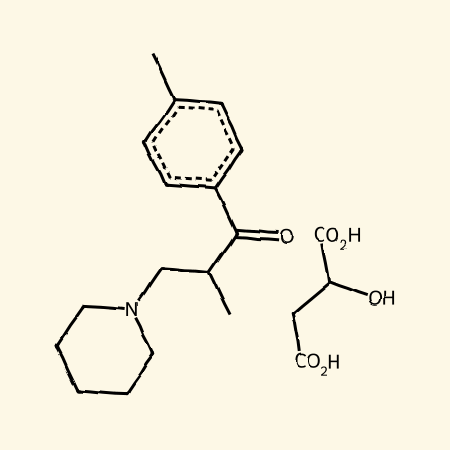 Cc1ccc(C(=O)C(C)CN2CCCCC2)cc1.O=C(O)CC(O)C(=O)O